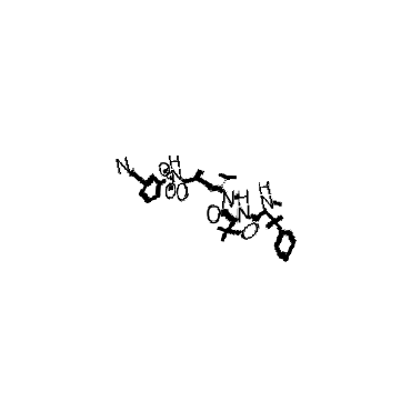 CN[C@H](C(=O)NC(C(=O)N(C)[C@H](/C=C(\C)C(=O)NS(=O)(=O)c1cccc(C#N)c1)C(C)C)C(C)(C)C)C(C)(C)c1ccccc1